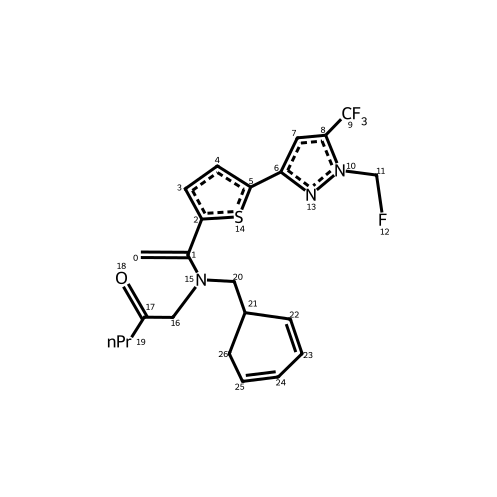 C=C(c1ccc(-c2cc(C(F)(F)F)n(CF)n2)s1)N(CC(=O)CCC)CC1C=CC=CC1